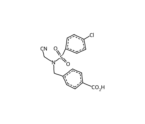 N#CCN(Cc1ccc(C(=O)O)cc1)S(=O)(=O)c1ccc(Cl)cc1